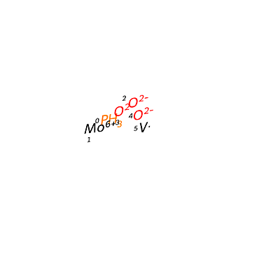 P.[Mo+6].[O-2].[O-2].[O-2].[V]